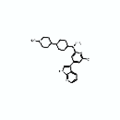 CN1CCC(C2CCC(N(C)c3cc(-c4c[nH]c5ncccc45)cc(Cl)n3)CC2)CC1